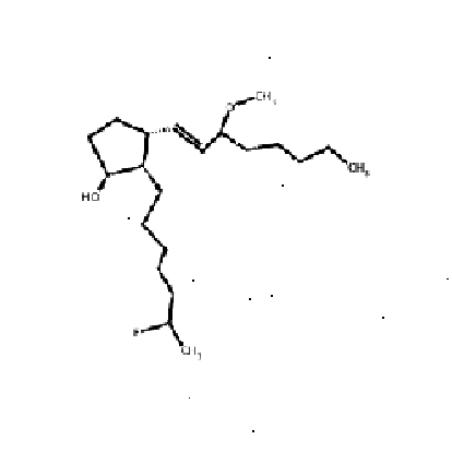 CCCCCC(C=C[C@H]1CC[C@H](O)[C@@H]1CCCCCC(C)F)OC